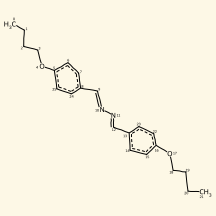 CCCCOc1ccc(C=NN=Cc2ccc(OCCCC)cc2)cc1